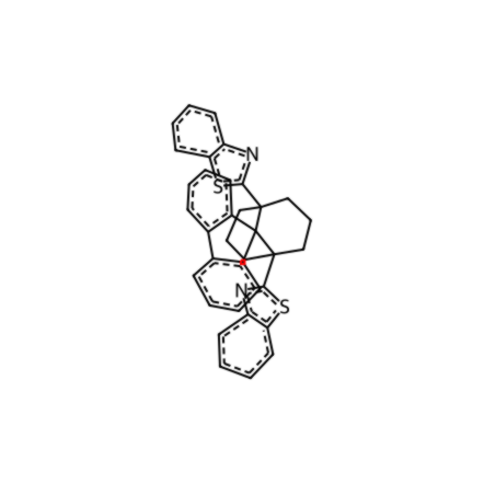 c1ccc2c(c1)-c1ccccc1C21C2(c3nc4ccccc4s3)CCCC1(c1nc3ccccc3s1)CCC2